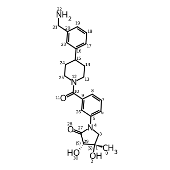 C[C@]1(O)CN(c2cccc(C(=O)N3CCC(c4cccc(CN)c4)CC3)c2)C(=O)[C@H]1O